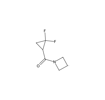 O=C(C1CC1(F)F)N1C[CH]C1